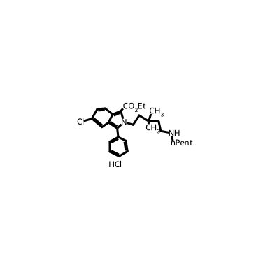 CCCCCNCCC(C)(C)CCn1c(C(=O)OCC)c2ccc(Cl)cc2c1-c1ccccc1.Cl